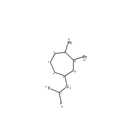 CC(C)C1CCCC(OC(F)F)CC1C(C)C